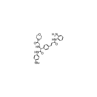 CC(C)(C)c1ccc(NC(=O)C(NCC(=O)N2CCOCC2)c2ccc(/C=C/C(=O)Nc3ccccc3N)cc2)cc1